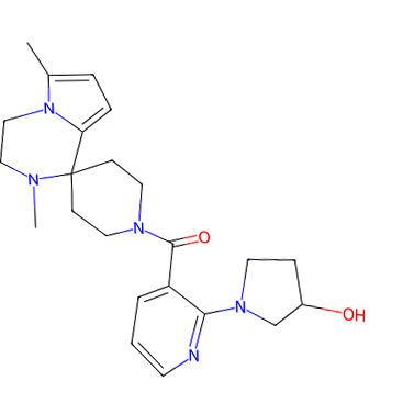 Cc1ccc2n1CCN(C)C21CCN(C(=O)c2cccnc2N2CCC(O)C2)CC1